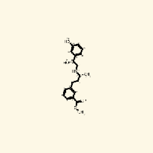 COC(=O)c1cccc(CC[C@@H](C)NC[C@H](O)c2cccc(O)c2)c1